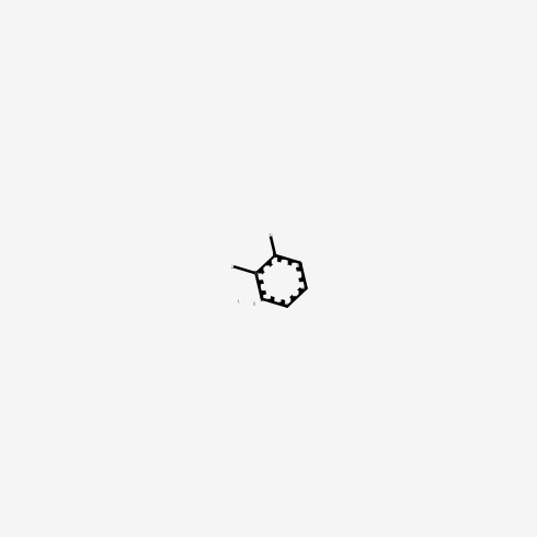 Cc1ccccc1I.[MgH2]